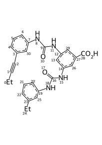 CCC#Cc1cccc(NC(=O)Nc2cc(NC(=O)Nc3cccc(CC)c3)cc(C(=O)O)c2)c1